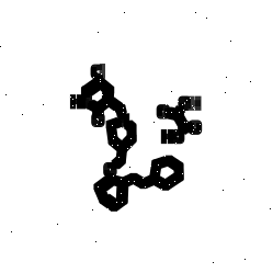 O=C(O)C(=O)O.O=c1[nH]cc(Cl)cc1CN1CCC(COc2ccccc2CCC2CCCCC2)CC1